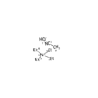 CC#N.CC[N+](CC)(CC)CC.[OH-]